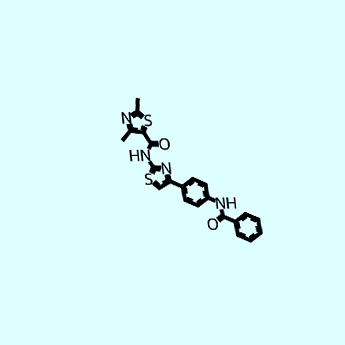 Cc1nc(C)c(C(=O)Nc2nc(-c3ccc(NC(=O)c4ccccc4)cc3)cs2)s1